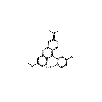 CC(=O)c1ccc(C=O)c(-c2c3ccc(=[N+](C)C)cc-3oc3cc(N(C)C)ccc23)c1